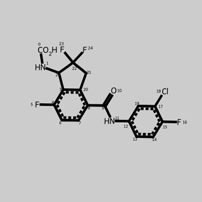 O=C(O)NC1c2c(F)ccc(C(=O)Nc3ccc(F)c(Cl)c3)c2CC1(F)F